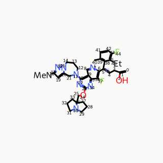 C=C(O)C/C=C(/c1ncc2c(N3CCCn4nc(NC)cc4C3)nc(OCC34CCCN3CCC4)nc2c1F)c1c(C)ccc(F)c1CC